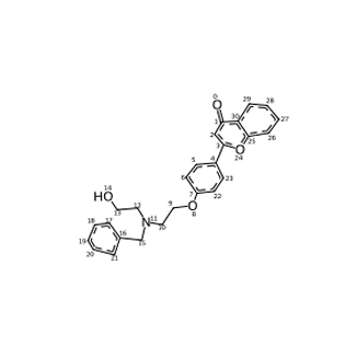 O=c1cc(-c2ccc(OCCN(CCO)Cc3ccccc3)cc2)oc2ccccc12